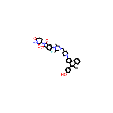 CCC(=C(c1ccc(O)cc1)c1ccc(N2CCC(CN3CC(C)N(c4cc5c(cc4F)C(=O)N(C4CCC(=O)NC4=O)C5=O)C(C)C3)CC2)cc1)c1ccccc1